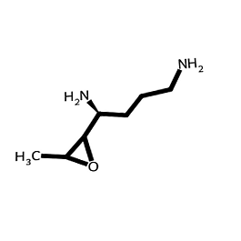 CC1OC1[C@@H](N)CCCN